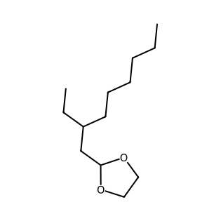 CCCCCCC(CC)CC1OCCO1